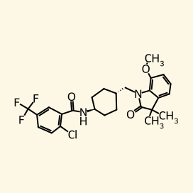 COc1cccc2c1N(C[C@H]1CC[C@H](NC(=O)c3cc(C(F)(F)F)ccc3Cl)CC1)C(=O)C2(C)C